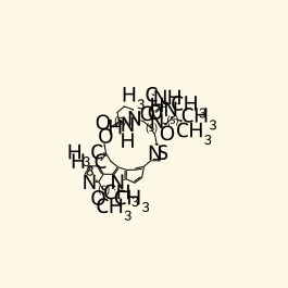 CCn1c(-c2cccnc2[C@H](C)OC)c2c3cc(ccc31)-c1csc(n1)C[C@H](NC(=O)[C@H](C(C)C)N(C)C(=O)NC)C(=O)N1CCC[C@H](N1)C(=O)OCC(C)(C)C2